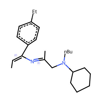 C/C=C(\N=C(/C)CN(CCCC)C1CCCCC1)c1ccc(CC)cc1